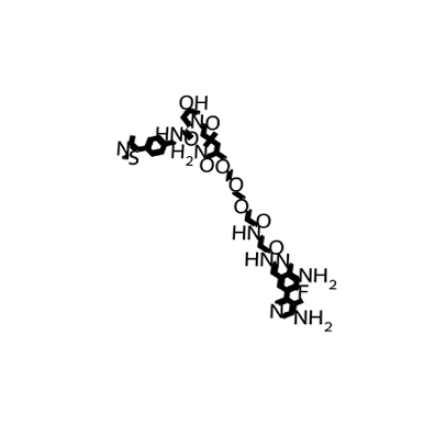 Cc1ncsc1-c1ccc(CNC(=O)[C@@H]2C[C@@H](O)CN2C(=O)CC(C)(C)CC(COCCOCCOCCC(=O)NCCC(=O)Nc2cc3cc(-c4cncc(N)c4C)c(F)c(N)c3cn2)C(N)=O)cc1